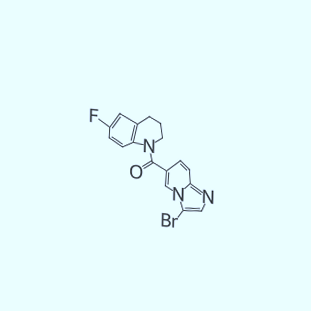 O=C(c1ccc2ncc(Br)n2c1)N1CCCc2cc(F)ccc21